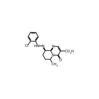 CC1CCC(=NNc2ccccc2Cl)c2ncc(C(=O)O)c(=O)n21